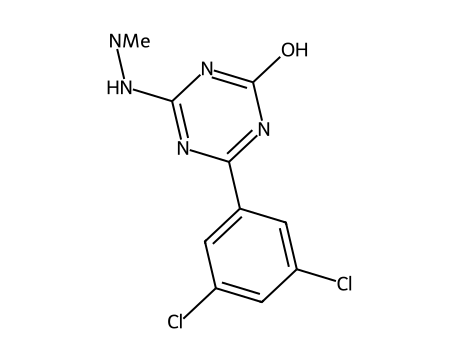 CNNc1nc(O)nc(-c2cc(Cl)cc(Cl)c2)n1